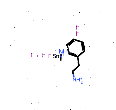 C[NH3+].[I-].[I-].[I-].[I-].[I-].[I-].[NH3+]CCc1ccccc1.[Sn+4]